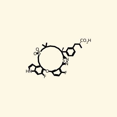 C[C@H](Cc1cccc([C@@]2(C)CCCC(C)(C)CS(=O)(=O)CCc3c(c(F)cc4[nH]ccc34)Oc3ccc(F)c(c3)-c3nnc2s3)c1)C(=O)O